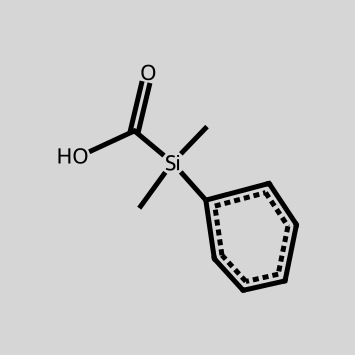 C[Si](C)(C(=O)O)c1ccccc1